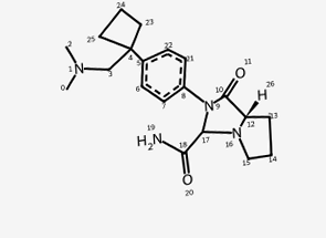 CN(C)CC1(c2ccc(N3C(=O)[C@@H]4[CH]CCN4C3C(N)=O)cc2)CCC1